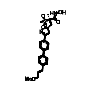 COCCCc1ccc(-c2ccc(C3=NO[C@@H](C[C@](C)(C(=O)NO)S(C)(=O)=O)C3)cc2)cc1